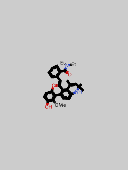 CCN(CC)C(=O)c1ccccc1/C=C1\Oc2ccc(O)c(OC)c2-c2ccc3c(c21)C(C)=CC(C)(C)N3